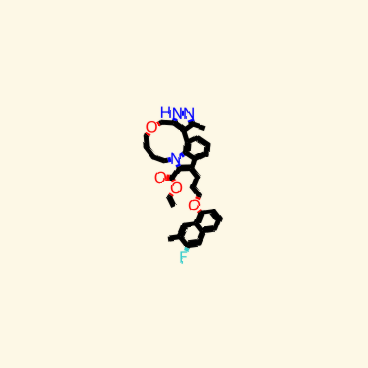 CCOC(=O)c1c(CCCOc2cccc3cc(F)c(C)cc23)c2cccc3c2n1CCCCOCc1[nH]nc(C)c1-3